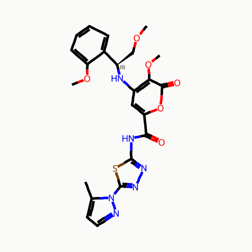 COC[C@@H](Nc1cc(C(=O)Nc2nnc(-n3nccc3C)s2)oc(=O)c1OC)c1ccccc1OC